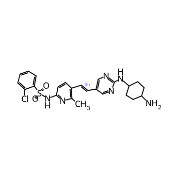 Cc1nc(NS(=O)(=O)c2ccccc2Cl)ccc1/C=C/c1cnc(NC2CCC(N)CC2)nc1